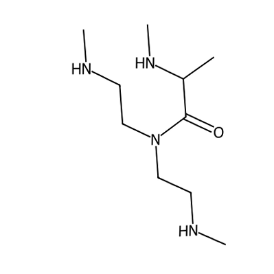 CNCCN(CCNC)C(=O)C(C)NC